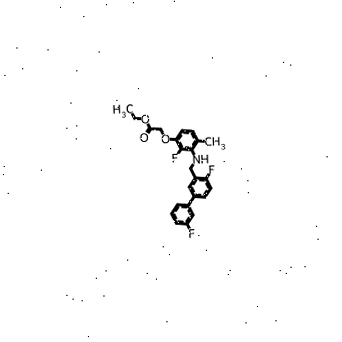 CCOC(=O)COc1ccc(C)c(NCc2cc(-c3cccc(F)c3)ccc2F)c1F